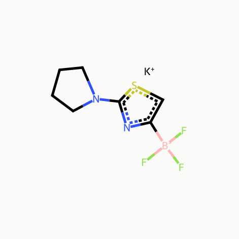 F[B-](F)(F)c1csc(N2CCCC2)n1.[K+]